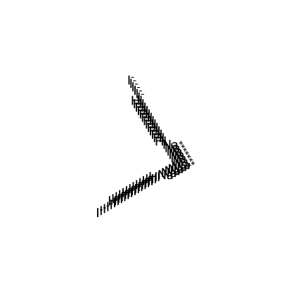 I.I.I.I.I.I.I.I.I.I.I.I.I.I.I.I.I.I.I.I.I.I.I.I.I.I.[I-].[I-].[I-].[I-].[I-].[I-].[I-].[I-].[I-].[I-].[I-].[I-].[Na+].[Na+].[Na+].[Na+].[Na+].[Na+].[Na+].[Na+].[Na+].[Na+].[Na+].[Na+]